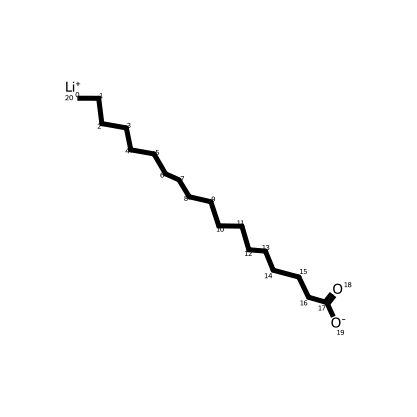 CCCCCCCCCCCCCCCCCC(=O)[O-].[Li+]